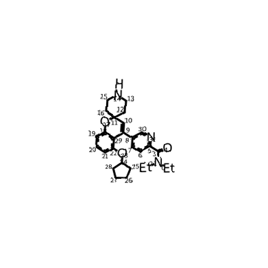 CCN(CC)C(=O)c1ccc(C2=CC3(CCNCC3)Oc3cccc(OC4CCCC4)c32)cn1